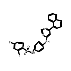 O=S(=O)(Nc1ccc(Nc2cc(-c3cccc4ccccc34)ncn2)cc1)c1ccc(F)cc1F